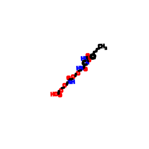 CCCCCc1cccc(S(=O)(=O)Nc2ccc(C(=O)NCCOCCOCC(=O)NCCOCCOCC(=O)O)cn2)c1